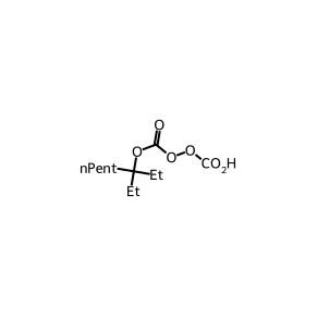 CCCCCC(CC)(CC)OC(=O)OOC(=O)O